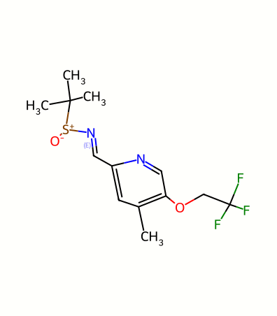 Cc1cc(/C=N/[S+]([O-])C(C)(C)C)ncc1OCC(F)(F)F